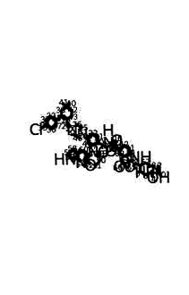 CN(C)[PH]1(O)CCC(CNc2ccc(S(=O)(=O)NC(=O)c3ccc(N4CCN(CC5=C(c6ccc(Cl)cc6)CC(C)(C)CC5)CC4)cc3N3CCCOc4nc5[nH]ccc5cc43)cc2[N+](=O)[O-])CC1